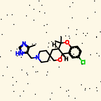 Cc1nc[nH]c1CN1CCC2(CC1)CO[C@H]1c3cc(Cl)ccc3OC(C)(C)[C@@H]1C2